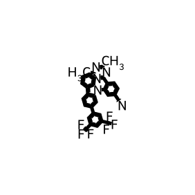 Cc1nc(C)nc(-c2ccc(C#N)cc2-n2c3ccccc3c3ccc(-c4cc(C(F)(F)F)cc(C(F)(F)F)c4)cc32)n1